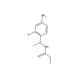 Bc1ccc(C(C)NC(=O)CC)c(F)c1